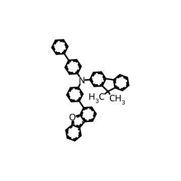 CC1(C)c2ccccc2-c2ccc(N(c3ccc(-c4ccccc4)cc3)c3cccc(-c4cccc5c4oc4ccccc45)c3)cc21